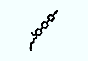 COC1(CCC=CC#N)CCC(C2CCC(c3ccc(C#N)cc3)CC2)CC1